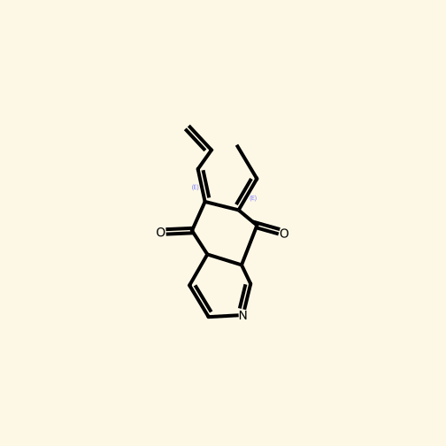 C=C/C=C1/C(=O)C2C=CN=CC2C(=O)/C1=C/C